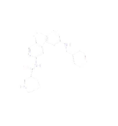 O=C(Nc1cc(-c2cc(NCC3CCOCC3)ccc2Cl)c(Cl)cn1)C1CCCCNC1